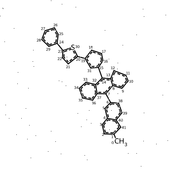 Cc1ccc2cc(-c3c4ccccc4c(-c4cccc(-c5ccc(-c6ccccc6)s5)c4)c4ccccc34)ccc2c1